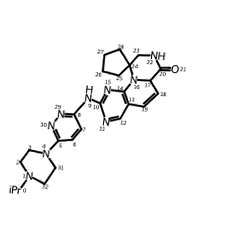 CC(C)N1CCN(c2ccc(Nc3ncc4c(n3)N3C(C=C4)C(=O)NCC34CCCC4)nn2)CC1